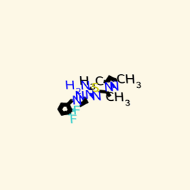 Cc1cc(C)n(C(C)C2=NN(c3ccn(Cc4cccc(F)c4F)n3)C(N)S2)n1